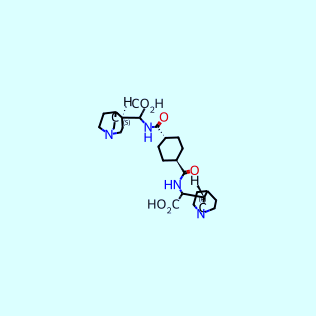 O=C(O)C(NC(=O)[C@H]1CC[C@H](C(=O)NC(C(=O)O)[C@H]2CN3CCC2CC3)CC1)[C@H]1CCN2CCC1CC2